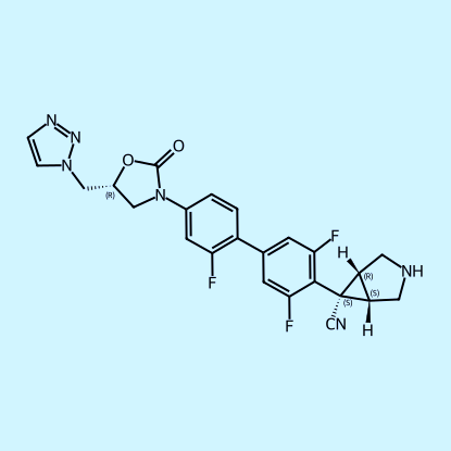 N#C[C@]1(c2c(F)cc(-c3ccc(N4C[C@H](Cn5ccnn5)OC4=O)cc3F)cc2F)[C@@H]2CNC[C@@H]21